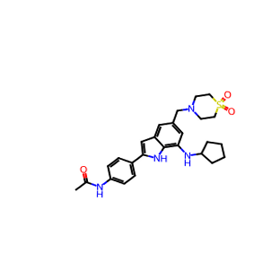 CC(=O)Nc1ccc(-c2cc3cc(CN4CCS(=O)(=O)CC4)cc(NC4CCCC4)c3[nH]2)cc1